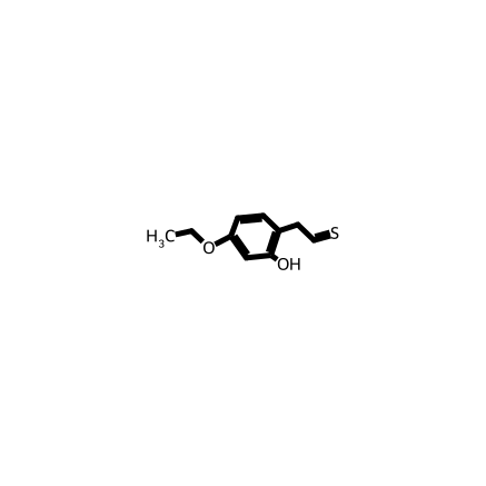 CCOc1ccc(CC=S)c(O)c1